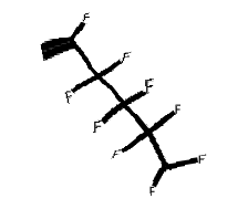 C=C(F)C(F)(F)C(F)(F)C(F)(F)C(F)F